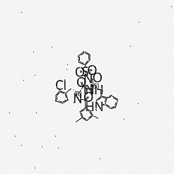 Cc1cc(C)cc(C(=O)N(C)[C@H](Cc2ccccc2Cl)C(=O)N[C@@H](Cc2c[nH]c3ccccc23)C(=O)NS(=O)(=O)c2ccccc2)c1